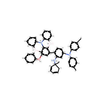 Cc1ccc(N(c2ccc(C)cc2)c2ccc(-c3cc4c5c6c3Bc3ccccc3N6c3ccccc3B5c3ccccc3O4)c(NC3(C)C=CC=CC3)c2)cc1